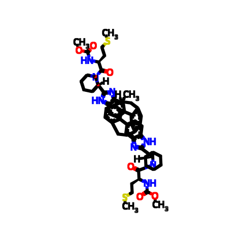 COC(=O)N[C@@H](CCSC)C(=O)N1C2CCC(CC2)[C@H]1c1nc2cc(-c3cc4ccc3CCc3ccc(c(-c5ccc6[nH]c([C@@H]7C8CCC(CC8)N7C(=O)[C@H](CCSC)NC(=O)OC)nc6c5)c3)C[C@H]4C)ccc2[nH]1